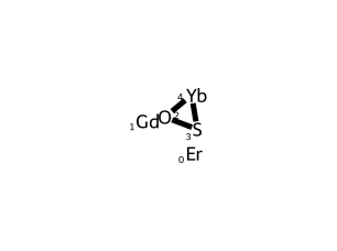 [Er].[Gd].[O]1[S][Yb]1